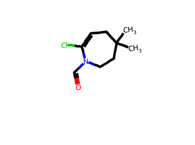 CC1(C)CC=C(Cl)N(C=O)CC1